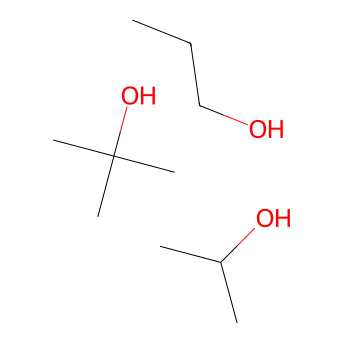 CC(C)(C)O.CC(C)O.CCCO